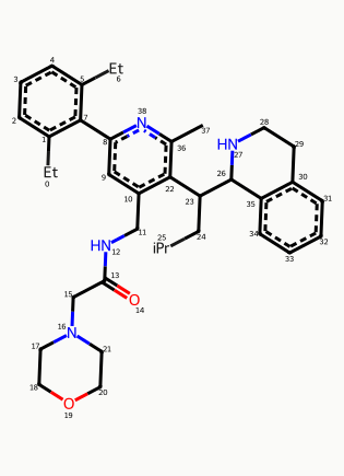 CCc1cccc(CC)c1-c1cc(CNC(=O)CN2CCOCC2)c(C(CC(C)C)C2NCCc3ccccc32)c(C)n1